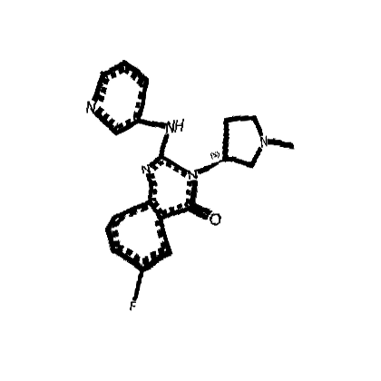 CN1CC[C@H](n2c(Nc3cccnc3)nc3ccc(F)cc3c2=O)C1